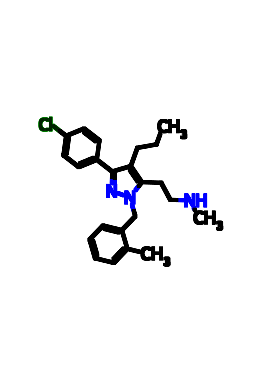 CCCc1c(-c2ccc(Cl)cc2)nn(Cc2ccccc2C)c1CCNC